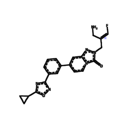 NC/C(=C\F)Cn1nc2cc(-c3cccc(-c4noc(C5CC5)n4)c3)ccn2c1=O